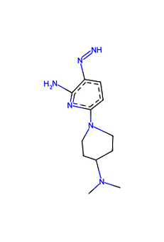 CN(C)C1CCN(c2ccc(N=N)c(N)n2)CC1